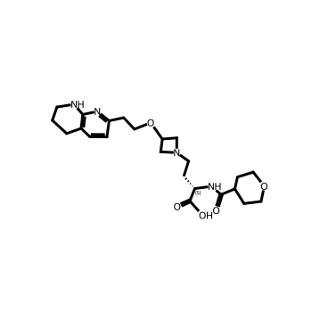 O=C(N[C@@H](CCN1CC(OCCc2ccc3c(n2)NCCC3)C1)C(=O)O)C1CCOCC1